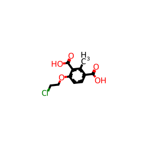 Cc1c(C(=O)O)ccc(OCCCl)c1C(=O)O